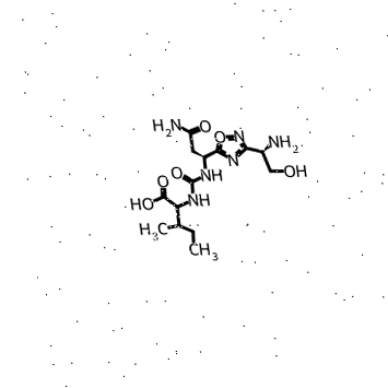 CCC(C)C(NC(=O)N[C@@H](CC(N)=O)c1nc([C@@H](N)CO)no1)C(=O)O